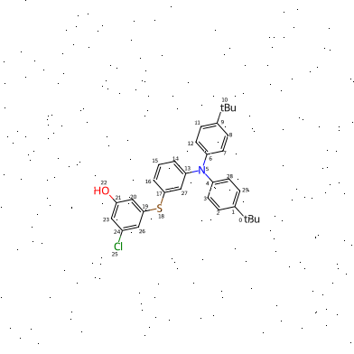 CC(C)(C)c1ccc(N(c2ccc(C(C)(C)C)cc2)c2cccc(Sc3cc(O)cc(Cl)c3)c2)cc1